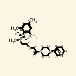 Cc1cc(C)c(S(=O)(=O)N(C)CCOCC(=O)N2CCN(C3CN4CCC3CC4)CC2)c(C)c1